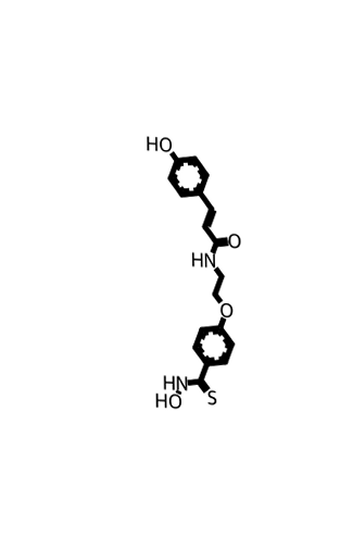 O=C(/C=C/c1ccc(O)cc1)NCCOc1ccc(C(=S)NO)cc1